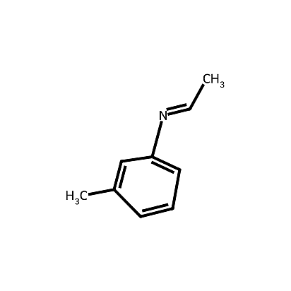 CC=Nc1cccc(C)c1